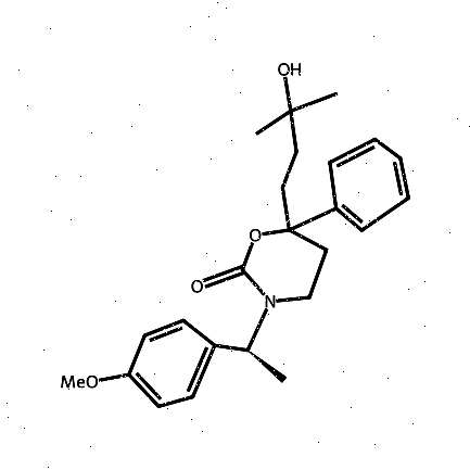 COc1ccc([C@H](C)N2CCC(CCC(C)(C)O)(c3ccccc3)OC2=O)cc1